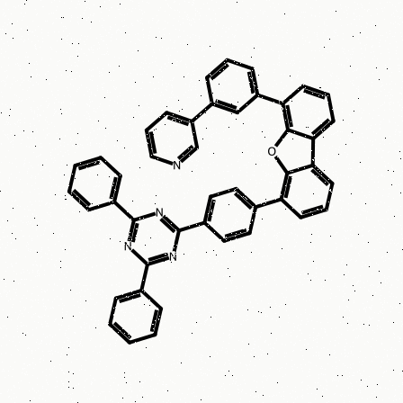 c1ccc(-c2nc(-c3ccccc3)nc(-c3ccc(-c4cccc5c4oc4c(-c6cccc(-c7cccnc7)c6)cccc45)cc3)n2)cc1